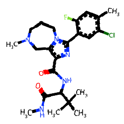 CNC(=O)C(NC(=O)c1nc(-c2cc(Cl)c(C)cc2F)n2c1CN(C)CCC2)C(C)(C)C